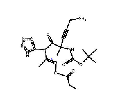 CCC(=O)O/N=C(\C)N(C(=O)C(C)(C#CCN)NC(=O)OC(C)(C)C)c1nnn[nH]1